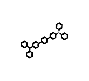 C1=CC(N(c2ccccc2)c2ccc(-c3ccc(-c4ccc(C(c5ccccc5)c5ccccc5)cc4)cc3)cc2)=CCC1